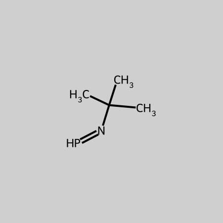 CC(C)(C)N=P